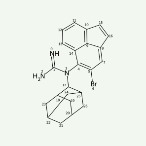 N=C(N)N(c1c(Br)cc2c3c(cccc13)C=C2)C1C2CC3CC(C2)CC1C3